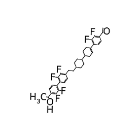 CC(O)c1ccc(-c2ccc(CCC3CCC(C4CC=C(c5ccc(C6CO6)c(F)c5F)CC4)CC3)c(F)c2F)c(F)c1F